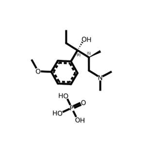 CC[C@](O)(c1cccc(OC)c1)[C@@H](C)CN(C)C.O=P(O)(O)O